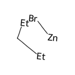 CCCCC.[Zn][Br]